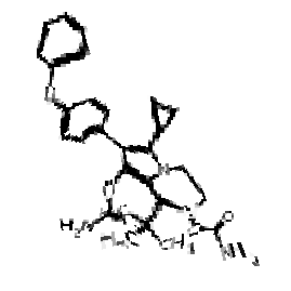 CC(C)(C)C1c2c(OC(N)=O)c(-c3ccc(Oc4ccccc4)cc3)c(C3CC3)n2CCN1OC(N)=O